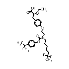 CCOC(Cc1ccc(OCCN(CCCCCC(C)(F)F)C(=O)Oc2ccc(C(C)C)cc2)cc1)C(=O)O